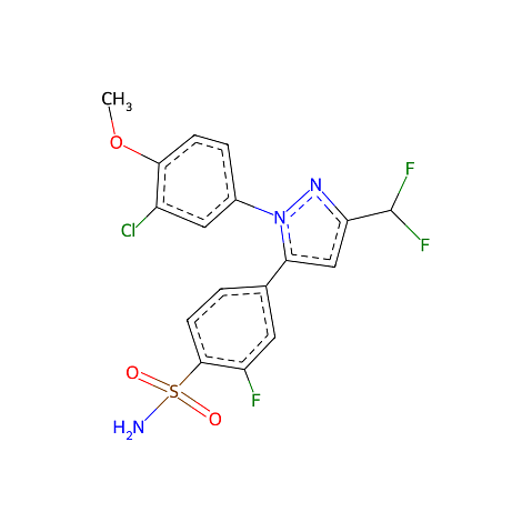 COc1ccc(-n2nc(C(F)F)cc2-c2ccc(S(N)(=O)=O)c(F)c2)cc1Cl